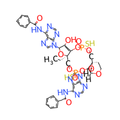 CC[C@@]12COP(=O)(S)O[C@H]3[C@H]4OCC[C@]3(CO[P@@](=O)(S)OC1=C(O)[C@H](n1cnc3c(NC(=O)c5ccccc5)ncnc31)O2)O[C@H]4n1cnc2c(NC(=O)c3ccccc3)ncnc21